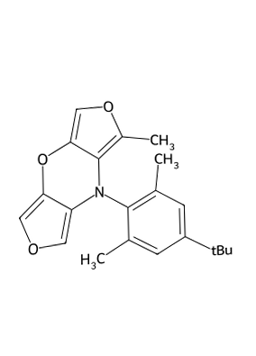 Cc1cc(C(C)(C)C)cc(C)c1N1c2cocc2Oc2coc(C)c21